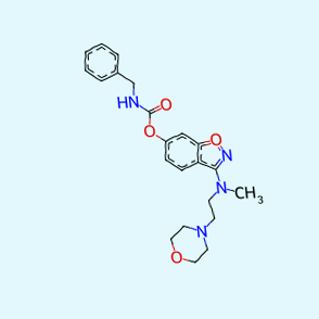 CN(CCN1CCOCC1)c1noc2cc(OC(=O)NCc3ccccc3)ccc12